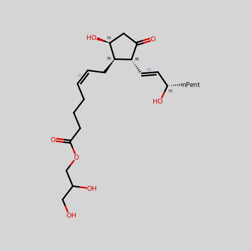 CCCCC[C@H](O)/C=C/[C@H]1C(=O)C[C@H](O)[C@@H]1C/C=C\CCCC(=O)OCC(O)CO